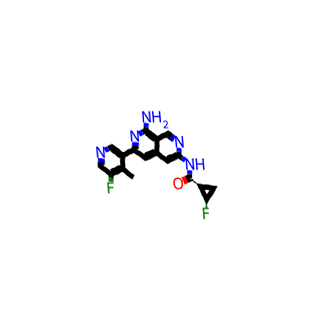 Cc1c(F)cncc1-c1cc2cc(NC(=O)[C@@H]3C[C@@H]3F)ncc2c(N)n1